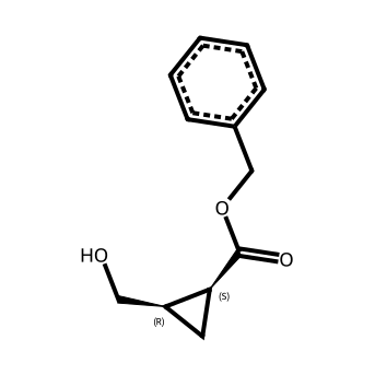 O=C(OCc1ccccc1)[C@H]1C[C@H]1CO